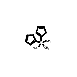 [CH3][Zr]([CH3])([SiH3])([C]1=CC=CC1)[C]1=CC=CC1